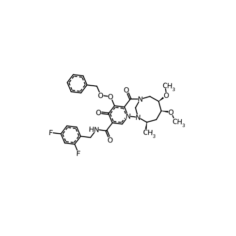 CO[C@H]1C[C@@H](C)N2CN(C[C@H]1OC)C(=O)c1c(OOCc3ccccc3)c(=O)c(C(=O)NCc3ccc(F)cc3F)cn12